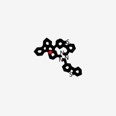 c1c(-c2ccc3c4c(cccc24)-c2ccccc2-3)cc2c(c#1)sc1cccc(-c3nc(-c4ccccc4)nc(-c4ccc5sc6ccccc6c5c4)n3)c12